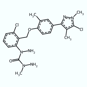 Cc1cc(-c2nn(C)c(Cl)c2C)ccc1OCc1c(Cl)cccc1N(N)C(=O)N(C)N